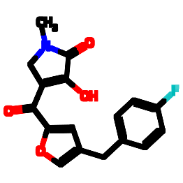 CN1CC(C(=O)c2cc(Cc3ccc(F)cc3)co2)=C(O)C1=O